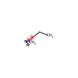 CCCCCCCC/C=C\CCCCCCCC(=O)OCOC(=O)N(CC)C1C2CCC(C2)[C@H]1c1ccccc1